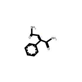 NC(=O)/C=C(/C(N)=O)c1ccccc1